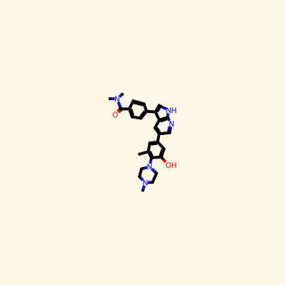 Cc1cc(-c2cnc3[nH]cc(-c4ccc(C(=O)N(C)C)cc4)c3c2)cc(O)c1N1CCN(C)CC1